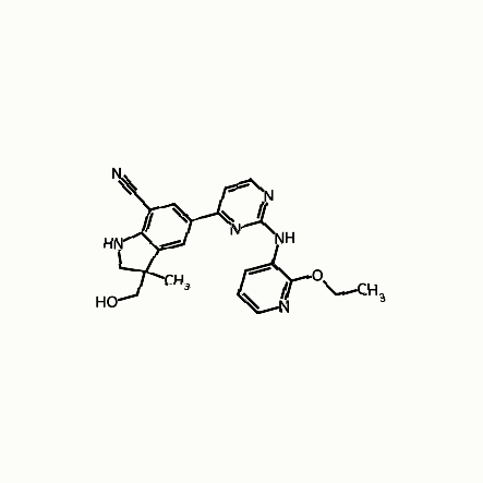 CCOc1ncccc1Nc1nccc(-c2cc(C#N)c3c(c2)C(C)(CO)CN3)n1